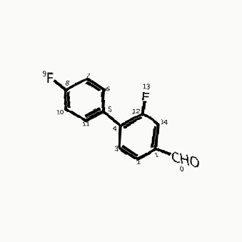 O=Cc1ccc(-c2ccc(F)cc2)c(F)c1